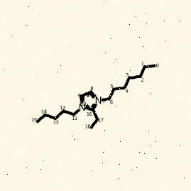 CCCCCCCn1cc[n+](CCCCC)c1CC